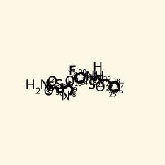 NS(=O)(=O)c1cc2nccc(Oc3ccc(NC(=S)NC(=O)Cc4ccccc4)cc3F)c2s1